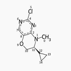 CN1c2nc(Cl)ncc2OC[C@@H]1C1CC1